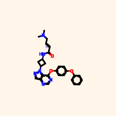 CN(C)C/C=C/C(=O)N[C@H]1C[C@@H](n2ncc3ncnc(Oc4ccc(Oc5ccccc5)cc4)c32)C1